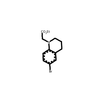 CCOC(=O)CN1CCCc2cc(Br)ccc21